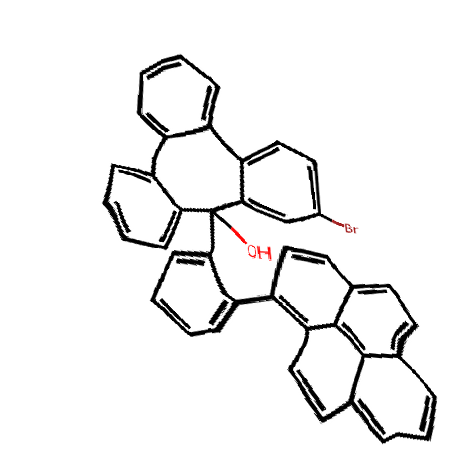 OC1(c2ccccc2-c2ccc3ccc4cccc5ccc2c3c45)c2ccccc2-c2ccccc2-c2ccc(Br)cc21